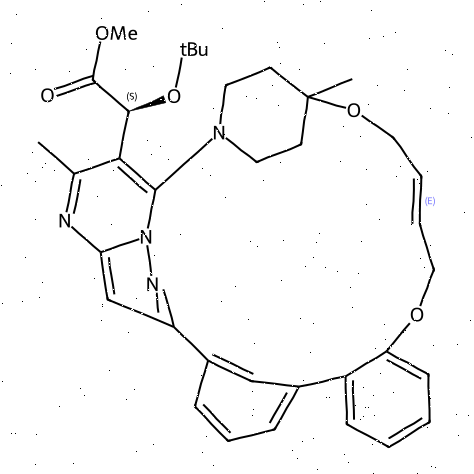 COC(=O)[C@@H](OC(C)(C)C)c1c(C)nc2cc3nn2c1N1CCC(C)(CC1)OC/C=C/COc1ccccc1-c1cccc-3c1